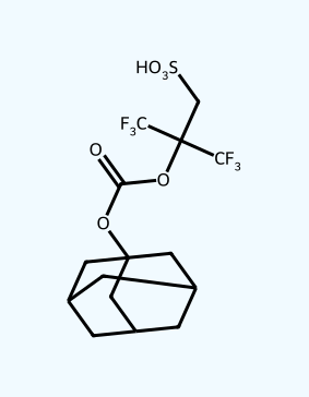 O=C(OC12CC3CC(CC(C3)C1)C2)OC(CS(=O)(=O)O)(C(F)(F)F)C(F)(F)F